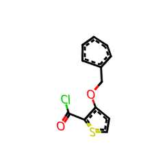 O=C(Cl)c1sccc1OCc1ccccc1